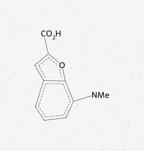 CNc1cccc2cc(C(=O)O)oc12